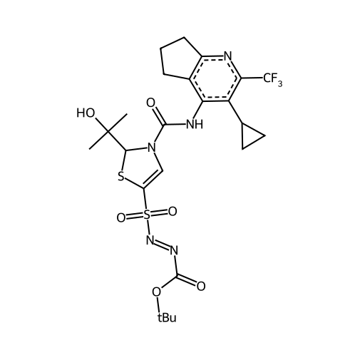 CC(C)(C)OC(=O)N=NS(=O)(=O)C1=CN(C(=O)Nc2c3c(nc(C(F)(F)F)c2C2CC2)CCC3)C(C(C)(C)O)S1